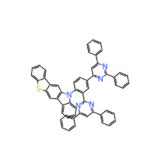 c1ccc(-c2cc(-c3ccc(-n4c5ccccc5c5cc6sc7ccccc7c6cc54)c(-c4nc(-c5ccccc5)cc(-c5ccccc5)n4)c3)nc(-c3ccccc3)n2)cc1